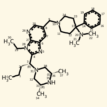 CCC[C@H](c1nc2cc(CN3CCC(c4ccccc4)(N(C)C)CC3)cnc2n1CC)N1C[C@@H](C)N[C@@H](C)C1